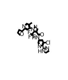 Cc1cnc(C2CCCO2)cc1-n1ncc(C(=O)Nc2cnc(N3N=CCN3)c(Cl)c2)c1C(F)(F)F